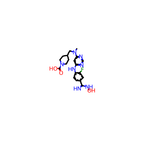 CN(CC1CCN(C(=O)O)CC1)c1cc(Nc2ccc(C(=N)NO)cc2F)ncn1